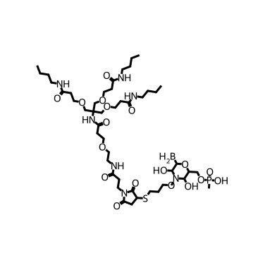 BC1OC(COP(C)(=O)O)C(O)N(OCCCSC2CC(=O)N(CCC(=O)NCCOCCC(=O)NC(COCCC(=O)NCCCC)(COCCC(=O)NCCCC)COCCC(=O)NCCCC)C2=O)C1O